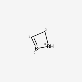 B1=CCB1